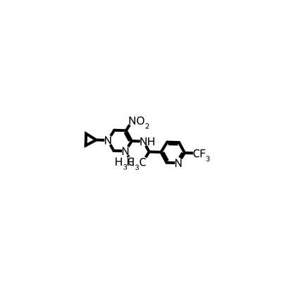 CC(NC1=C([N+](=O)[O-])CN(C2CC2)CN1C)c1ccc(C(F)(F)F)nc1